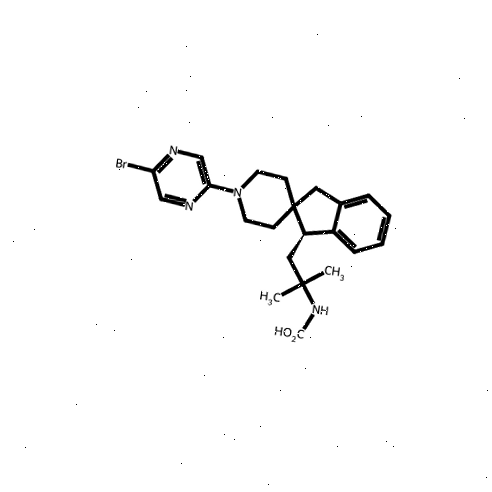 CC(C)(C[C@@H]1c2ccccc2CC12CCN(c1cnc(Br)cn1)CC2)NC(=O)O